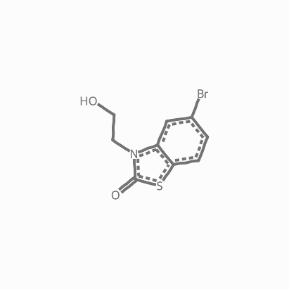 O=c1sc2ccc(Br)cc2n1CCO